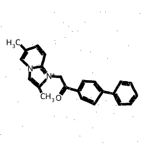 Cc1ccc2n(c1)cc(C)[n+]2CC(=O)c1ccc(-c2ccccc2)cc1